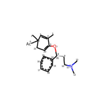 CC(=O)C1(C)C=C(C)C(O[C@H](CCN(C)C)c2ccccc2)=CC1